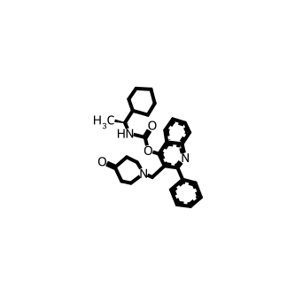 C[C@H](NC(=O)Oc1c(CN2CCC(=O)CC2)c(-c2ccccc2)nc2ccccc12)C1CCCCC1